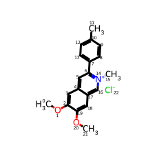 COc1cc2cc(-c3ccc(C)cc3)[n+](C)cc2cc1OC.[Cl-]